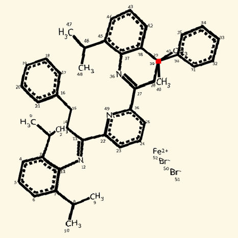 CC(C)c1cccc(C(C)C)c1N=C(CCc1ccccc1)c1cccc(C(CCc2ccccc2)=Nc2c(C(C)C)cccc2C(C)C)n1.[Br-].[Br-].[Fe+2]